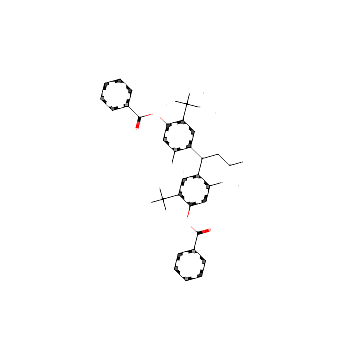 CCCC(c1cc(C(C)(C)C)c(OC(=O)c2ccccc2)cc1C)c1cc(C(C)(C)C)c(OC(=O)c2ccccc2)cc1C